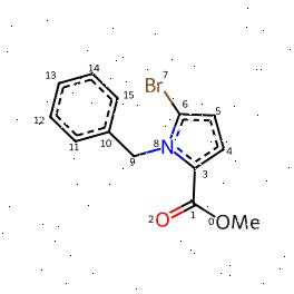 COC(=O)c1ccc(Br)n1Cc1ccccc1